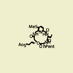 C/C=C1\NC(=O)c2ccc(SC)c(n2)CNC(=O)C[C@@H](/C=C/CCSC(C)=O)OC(=O)[C@H](CCCCC)NC1=O